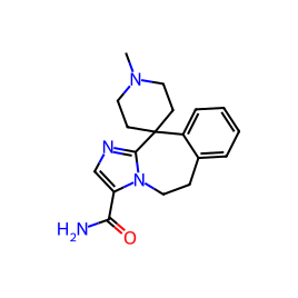 CN1CCC2(CC1)c1ccccc1CCn1c(C(N)=O)cnc12